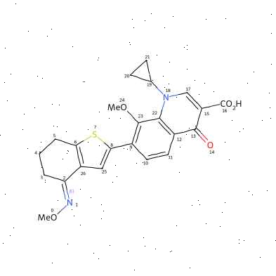 CO/N=C1\CCCc2sc(-c3ccc4c(=O)c(C(=O)O)cn(C5CC5)c4c3OC)cc21